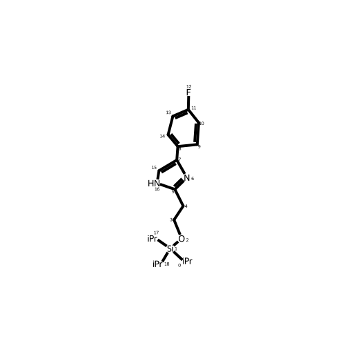 CC(C)[Si](OCCc1nc(-c2ccc(F)cc2)c[nH]1)(C(C)C)C(C)C